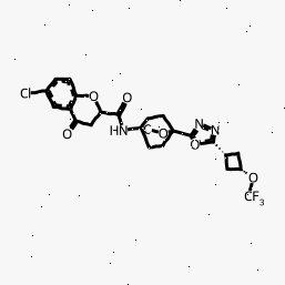 O=C1CC(C(=O)NC23CCC(c4nnc([C@H]5C[C@@H](OC(F)(F)F)C5)o4)(CC2)OC3)Oc2ccc(Cl)cc21